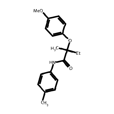 CCC(C)(Oc1ccc(OC)cc1)C(=O)Nc1ccc(C)cc1